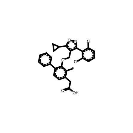 O=C(O)Cc1ccc(-c2ccccc2)c(OCc2c(-c3c(Cl)cccc3Cl)noc2C2CC2)c1F